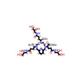 COC(=O)C(CCC(=O)NCC(O)CO)N1CCN(C(CCC(=O)NCC(O)CO)OC(C)=O)CCN(C(CCC(=O)NCC(O)CO)OC(C)=O)Cc2cccc(n2)C1